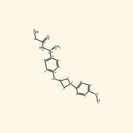 CCOc1ccc(N2CC(Oc3ccc([C@H](C)NC(=O)CO)cc3)C2)cc1